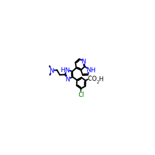 CN(C)CCc1nc(-c2cc(Cl)cc(C(=O)O)c2)c(-c2ccnc3[nH]ccc23)[nH]1